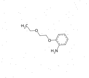 [CH2]COCCOc1ccccc1N